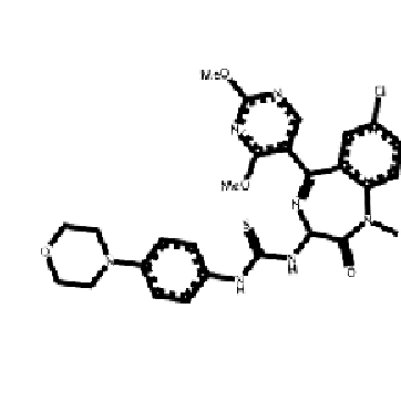 COc1ncc(C2=NC(NC(=S)Nc3ccc(N4CCOCC4)cc3)C(=O)N(C)c3ccc(Cl)cc32)c(OC)n1